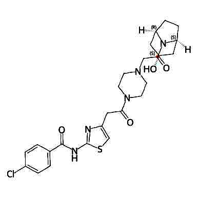 O=C(Nc1nc(CC(=O)N2CCN(CC(=O)N3[C@@H]4CC[C@H]3C[C@H](O)C4)CC2)cs1)c1ccc(Cl)cc1